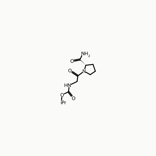 CC(C)OC(=O)NCC(=O)N1CCC[C@H]1C(N)=O